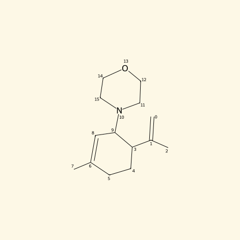 C=C(C)C1CCC(C)=CC1N1CCOCC1